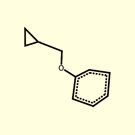 c1ccc(OC[C]2CC2)cc1